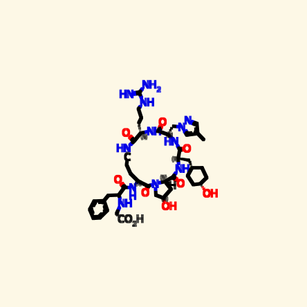 Cc1cnn(C[C@@H]2NC(=O)[C@@H](C[C@H]3CC[C@@H](O)CC3)NC(=O)[C@@H]3C[C@@H](O)CN3C(=O)[C@@H](NC(=O)C(Cc3ccccc3)NCC(=O)O)CCCNC(=O)[C@H](CCCNC(=N)N)NC2=O)c1